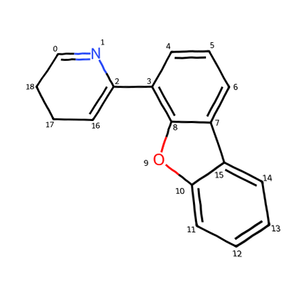 C1=NC(c2cccc3c2oc2ccccc23)=CCC1